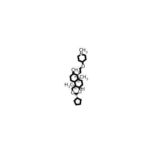 C=C1CCC2[C@]3(C)CO[C@@H](C4CCCC4)O[C@@H]3CC[C@@]2(C)[C@@H]1CCOC1CCN(C)CC1